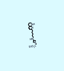 CCOC(=O)CN1CC(NCCCCCc2ccc3c(n2)NCCC3)C1